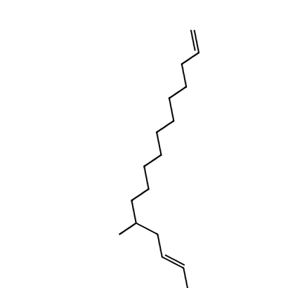 C=CCCCCCCCCCC(C)CC=CC